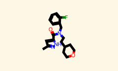 Cc1cc(C(=O)N(CCC2CCOCC2)Cc2ccccc2F)[nH]n1